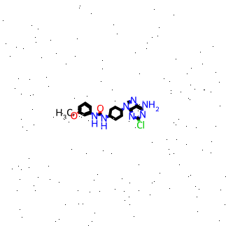 COc1cccc(NC(=O)NC2CCC(n3cnc4c(N)nc(Cl)nc43)CC2)c1